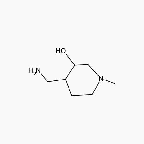 CN1CCC(CN)C(O)C1